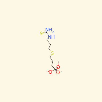 CO[Si](CCCSCCCNC(N)=S)(OC)OC